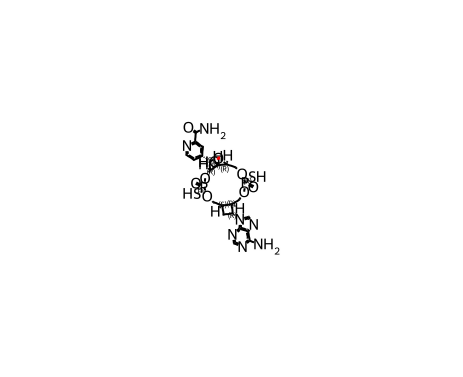 NC(=O)c1cc([C@@H]2O[C@@H]3CO[P@](=O)(S)OC[C@@H]4[C@@H](CO[P@](=O)(S)O[C@@H]2[C@@H]3O)C[C@H]4n2cnc3c(N)ncnc32)ccn1